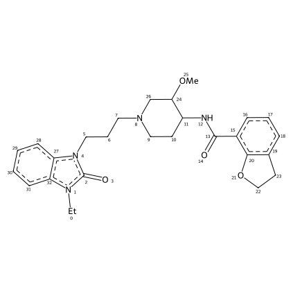 CCn1c(=O)n(CCCN2CCC(NC(=O)c3cccc4c3OCC4)C(OC)C2)c2ccccc21